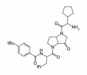 CC(C)CC(NC(=O)c1ccc(C(C)(C)C)cc1)C(=O)N1CCC2C1C(=O)CN2C(=O)C(N)C1CCCC1